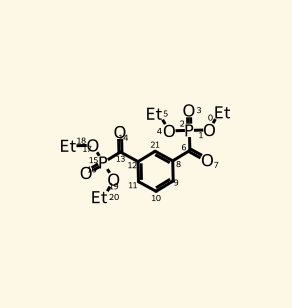 CCOP(=O)(OCC)C(=O)c1cccc(C(=O)P(=O)(OCC)OCC)c1